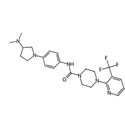 CN(C)C1CCN(c2ccc(NC(=O)N3CCN(c4ncccc4C(F)(F)F)CC3)cc2)C1